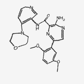 COc1ccc(OC)c(-c2cnc(N)c(C(=O)Nc3cnccc3N3CCOCC3)n2)c1